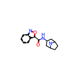 CN1C2CCC1CC(NC(=O)c1onc3ccccc13)C2